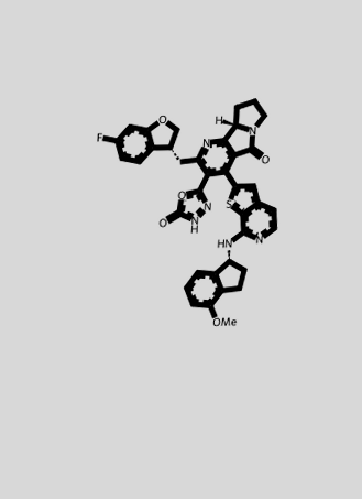 COc1cccc2c1CC[C@H]2Nc1nccc2cc(-c3c4c(nc(C[C@H]5COc6cc(F)ccc65)c3-c3n[nH]c(=O)o3)[C@@H]3CCCN3C4=O)sc12